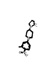 Cc1cc(N2CCC(N3CCC[C@@H]3C)CC2)ccc1[N+](=O)[O-]